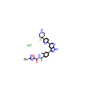 Cc1cc(-c2n[nH]c3ncc(-c4ccc(C5(F)CCNCC5)cn4)cc23)ccc1[C@@H](C)NC(=O)c1nc(C(C)(C)C)no1.Cl